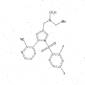 CC(C)(C)CN(Cc1cc(-c2cccnc2C#N)n(S(=O)(=O)c2ccc(F)cc2F)c1)C(=O)O